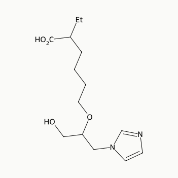 CCC(CCCCOC(CO)Cn1ccnc1)C(=O)O